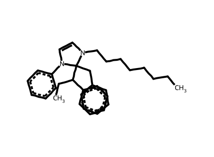 CCCCCCCCN1C=CN(c2ccccc2)C1(Cc1ccccc1)C(CC)c1ccccc1